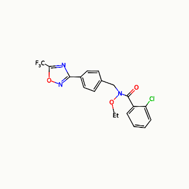 CCON(Cc1ccc(-c2noc(C(F)(F)F)n2)cc1)C(=O)c1ccccc1Cl